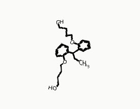 CCC(c1ccccc1OCCCCO)c1ccccc1OCCCCO